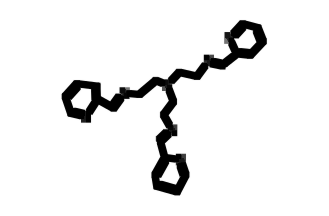 C(=NCCN(CCN=Cc1ccccn1)CCN=Cc1ccccn1)c1ccccn1